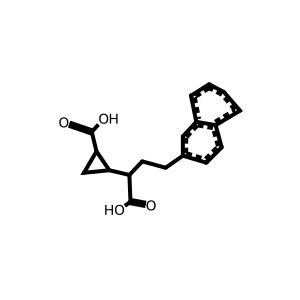 O=C(O)C(CCc1ccc2ccccc2c1)C1CC1C(=O)O